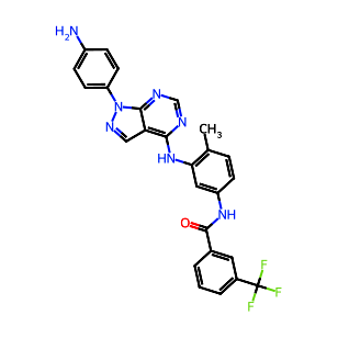 Cc1ccc(NC(=O)c2cccc(C(F)(F)F)c2)cc1Nc1ncnc2c1cnn2-c1ccc(N)cc1